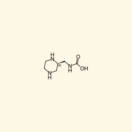 O=C(O)NC[C@H]1CNCCN1